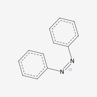 c1ccc(/N=N\c2ccccc2)cc1